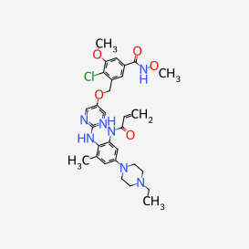 C=CC(=O)Nc1cc(N2CCN(CC)CC2)cc(C)c1Nc1ncc(OCc2cc(C(=O)NOC)cc(OC)c2Cl)cn1